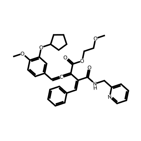 COCCOC(=O)C(=C=Cc1ccc(OC)c(OC2CCCC2)c1)C(=Cc1ccccc1)C(=O)NCc1ccccn1